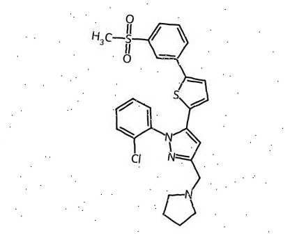 CS(=O)(=O)c1cccc(-c2ccc(-c3cc(CN4CCCC4)nn3-c3ccccc3Cl)s2)c1